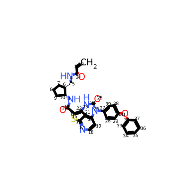 C=CC(=O)NC[C@H]1CCC[C@H]1NC(=O)c1sc2nccc3c2c1NC(=O)N3c1ccc(Oc2ccccc2)cc1